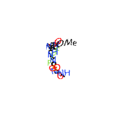 C=CC(=O)Nc1ccnc(S(=O)(=O)c2ccc(N3CC(F)(CN4CCC([C@@](CN5CCC5)(c5cccc(F)c5)[C@H]5CCC[C@@H]5NC(=O)OC)CC4)C3)c(F)c2)c1